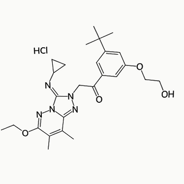 CCOc1nn2c(=NC3CC3)n(CC(=O)c3cc(OCCO)cc(C(C)(C)C)c3)nc2c(C)c1C.Cl